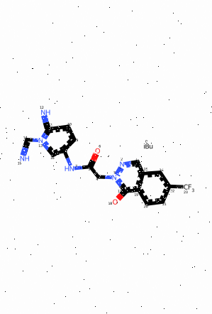 CC[C@H](C)c1nn(CC(=O)Nc2ccc(=N)n(C=N)c2)c(=O)c2ccc(C(F)(F)F)cc12